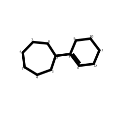 C1=C(C2CCCCCC2)CCCC1